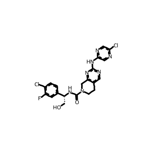 O=C(N[C@H](CO)c1ccc(Cl)c(F)c1)N1CCc2cnc(Nc3cnc(Cl)cn3)nc2C1